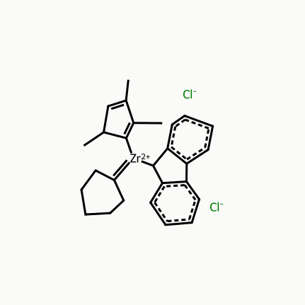 CC1=CC(C)[C]([Zr+2](=[C]2CCCCC2)[CH]2c3ccccc3-c3ccccc32)=C1C.[Cl-].[Cl-]